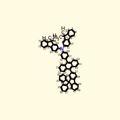 CC1(C)c2ccccc2-c2ccc(N(c3ccc(-c4c5ccccc5c(-c5ccc6c(c5)C(c5ccccc5)(c5ccccc5)c5ccccc5-6)c5ccccc45)cc3)c3ccc4c(c3)C(C)(C)c3ccccc3-4)cc21